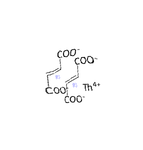 O=C([O-])/C=C/C(=O)[O-].O=C([O-])/C=C/C(=O)[O-].[Th+4]